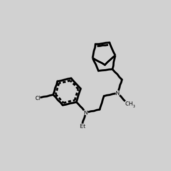 CCN(CCN(C)CC1CC2C=CC1C2)c1cccc(Cl)c1